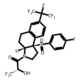 O=C([C@H](O)C(F)(F)F)N1CC[C@@]2(S(=O)(=O)c3ccc(F)cc3)c3ccc(C(F)(C(F)(F)F)C(F)(F)F)cc3CC[C@@H]12